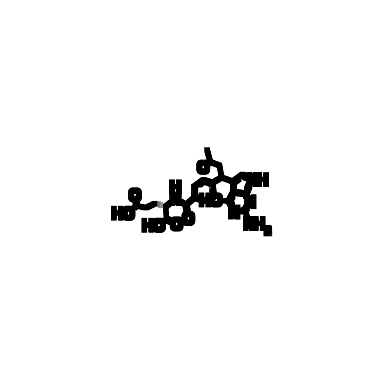 CC(=O)CC(c1ccc(C(=O)N[C@@H](CCC(=O)O)C(=O)O)cc1)c1c[nH]c2nc(N)nc(O)c12